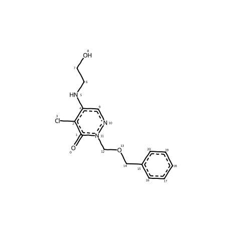 O=c1c(Cl)c(NCCO)cnn1COCc1ccccc1